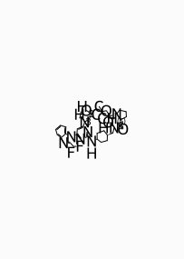 CC(C)(C)OC(=O)N1CCC[C@H]1C(=O)NC[C@H]1CC[C@H](Nc2nc(N3CCOCC3)cc(-n3c(C(F)F)nc4ccccc43)n2)CC1